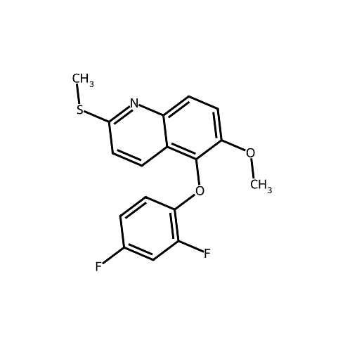 COc1ccc2nc(SC)ccc2c1Oc1ccc(F)cc1F